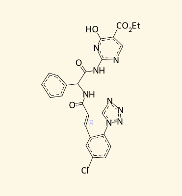 CCOC(=O)c1cnc(NC(=O)C(NC(=O)/C=C/c2cc(Cl)ccc2-n2cnnn2)c2ccccc2)nc1O